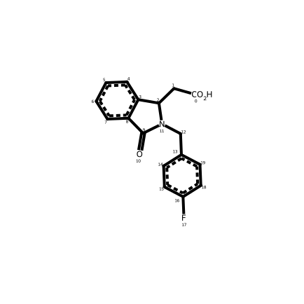 O=C(O)CC1c2ccccc2C(=O)N1Cc1ccc(F)cc1